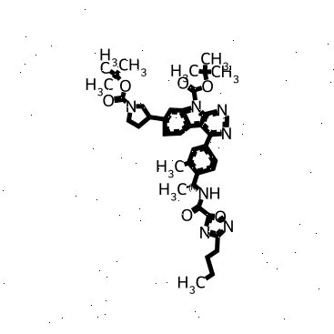 CCCCc1noc(C(=O)N[C@H](C)c2ccc(-c3ncnc4c3c3ccc(C5CCN(C(=O)OC(C)(C)C)C5)cc3n4C(=O)OC(C)(C)C)cc2C)n1